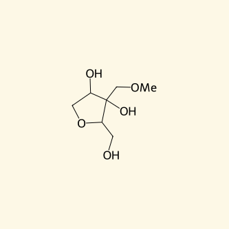 COCC1(O)C(O)COC1CO